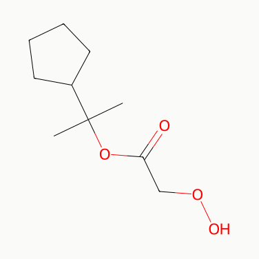 CC(C)(OC(=O)COO)C1CCCC1